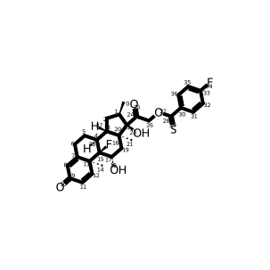 C[C@@H]1C[C@H]2[C@@H]3CCC4=CC(=O)C=C[C@]4(C)[C@@]3(F)[C@@H](O)C[C@]2(C)[C@@]1(O)C(=O)COC(=S)c1ccc(F)cc1